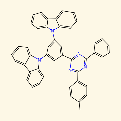 Cc1ccc(-c2nc(-c3ccccc3)nc(-c3cc(-n4c5ccccc5c5ccccc54)cc(-n4c5ccccc5c5ccccc54)c3)n2)cc1